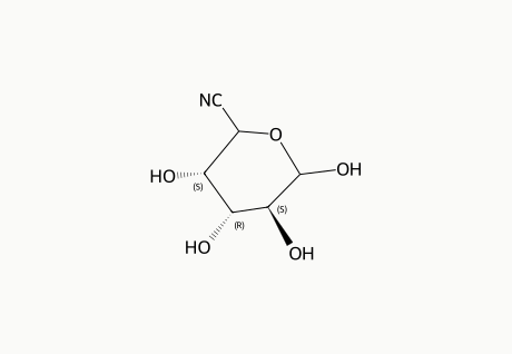 N#CC1OC(O)[C@@H](O)[C@H](O)[C@@H]1O